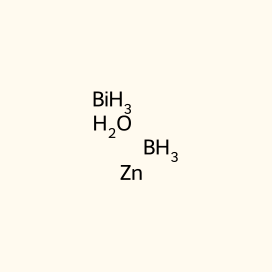 B.O.[BiH3].[Zn]